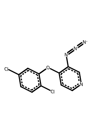 [N-]=[N+]=Nc1cnccc1Oc1cc(Cl)ccc1Cl